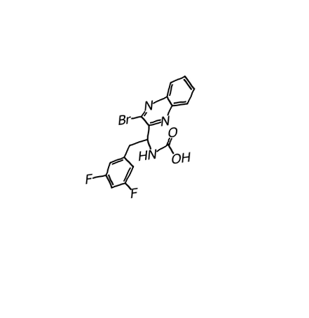 O=C(O)NC(Cc1cc(F)cc(F)c1)c1nc2ccccc2nc1Br